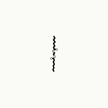 CCCCCCCC(=O)OC=COC(=O)CCCCCCC